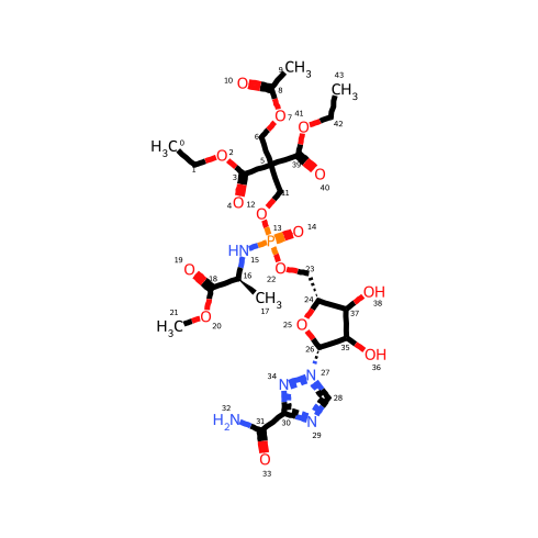 CCOC(=O)C(COC(C)=O)(COP(=O)(N[C@@H](C)C(=O)OC)OC[C@H]1O[C@@H](n2cnc(C(N)=O)n2)C(O)C1O)C(=O)OCC